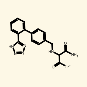 CCCC(=O)C(NCc1ccc(-c2ccccc2-c2nnn[nH]2)cc1)C(N)=O